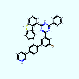 Brc1cc(-c2ccc(-c3cccnc3)cc2)cc(-c2nc(-c3ccccc3)nc(-c3cccc4sc5ccccc5c34)n2)c1